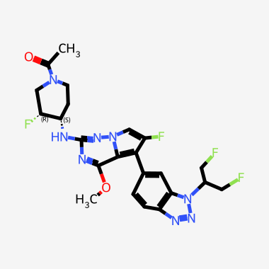 COc1nc(N[C@H]2CCN(C(C)=O)C[C@H]2F)nn2cc(F)c(-c3ccc4nnn(C(CF)CF)c4c3)c12